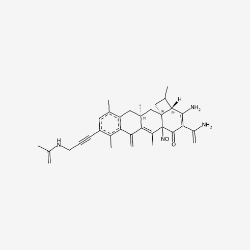 C=C(C)NCC#Cc1cc(C)c2c(c1C)C(=C)C1=C(C)C3(N=O)C(=O)C(C(=C)N)=C(N)[C@H]4C(C)C[C@]43C[C@]1(C)C2